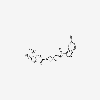 CC(C)(C)OC(=O)N1CC(F)(CNC(=O)c2cnn3ccc(Br)cc23)C1